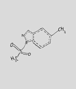 Cc1ccc2c(cnn2S(C)(=O)=O)c1